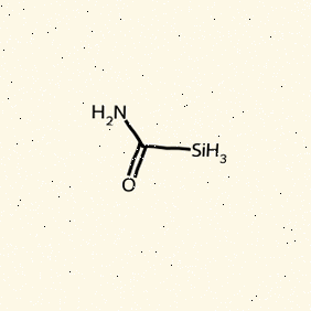 NC(=O)[SiH3]